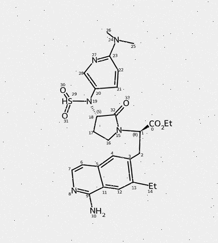 CCOC(=O)[C@@H](Cc1cc2ccnc(N)c2cc1CC)N1CC[C@H](N(c2ccc(N(C)C)nc2)[SH](=O)=O)C1=O